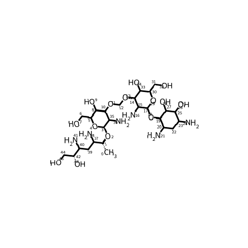 C[C@@H](OC1OC(CO)C(O)C(OCOC2C(N)C(OC3C(N)CC(N)C(O)C3O)OC(CO)C2O)C1N)C(N)CC(N)[C@H](O)CO